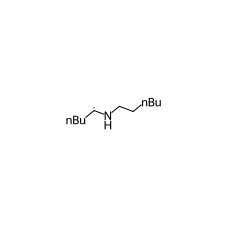 CCCC[CH]NCCCCCC